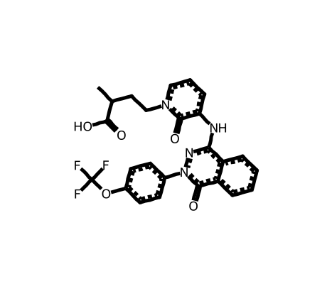 CC(CCn1cccc(Nc2nn(-c3ccc(OC(F)(F)F)cc3)c(=O)c3ccccc23)c1=O)C(=O)O